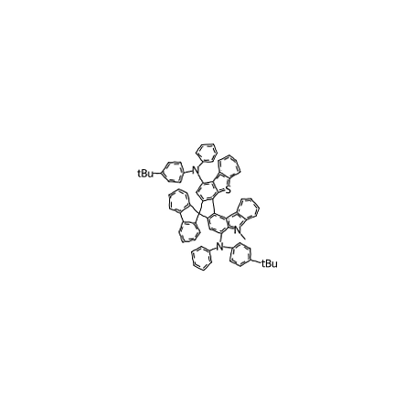 Cn1c2ccccc2c2c3c(cc(N(c4ccccc4)c4ccc(C(C)(C)C)cc4)c21)C1(c2ccccc2-c2ccccc21)c1cc(N(c2ccccc2)c2ccc(C(C)(C)C)cc2)c2c(sc4ccccc42)c1-3